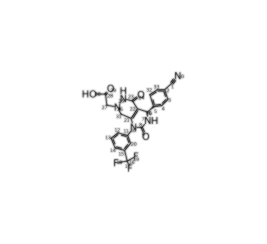 N#Cc1ccc([C@H]2NC(=O)N(c3cccc(C(F)(F)F)c3)C3=C2C(=O)NN(CC(=O)O)C3)cc1